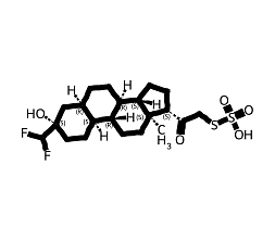 C[C@]12CC[C@H]3[C@@H](CC[C@@H]4C[C@](O)(C(F)F)CC[C@@H]43)[C@@H]1CC[C@@H]2C(=O)CSS(=O)(=O)O